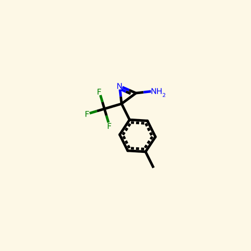 Cc1ccc(C2(C(F)(F)F)N=C2N)cc1